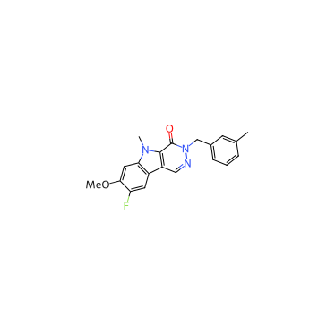 COc1cc2c(cc1F)c1cnn(Cc3cccc(C)c3)c(=O)c1n2C